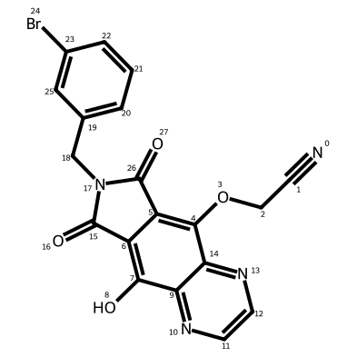 N#CCOc1c2c(c(O)c3nccnc13)C(=O)N(Cc1cccc(Br)c1)C2=O